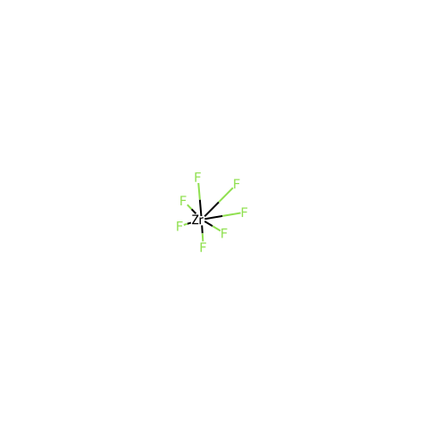 [F][Zr]([F])([F])([F])([F])([F])[F]